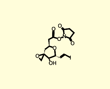 O=C(C[C@@H]1C[C@@]2(CO2)[C@H](O)[C@@H](/C=C/I)O1)ON1C(=O)CCC1=O